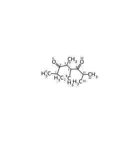 CC(C)C(=O)C(C)C(C)C(=O)C(C)C